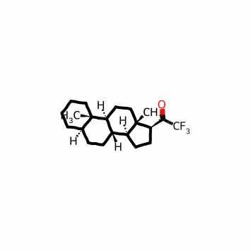 C[C@]12CCCC[C@@H]1CC[C@@H]1[C@@H]2CC[C@]2(C)[C@@H](C(=O)C(F)(F)F)CC[C@@H]12